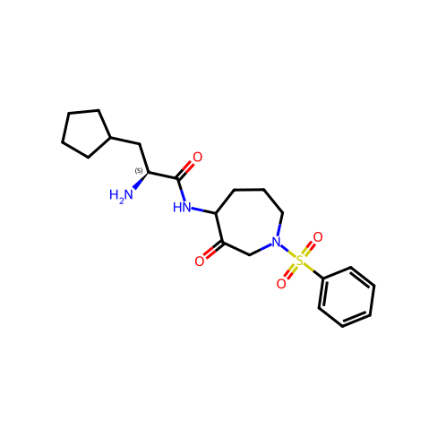 N[C@@H](CC1CCCC1)C(=O)NC1CCCN(S(=O)(=O)c2ccccc2)CC1=O